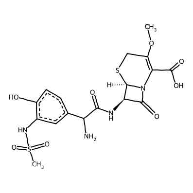 COC1=C(C(=O)O)N2C(=O)[C@@H](NC(=O)C(N)c3ccc(O)c(NS(C)(=O)=O)c3)[C@H]2SC1